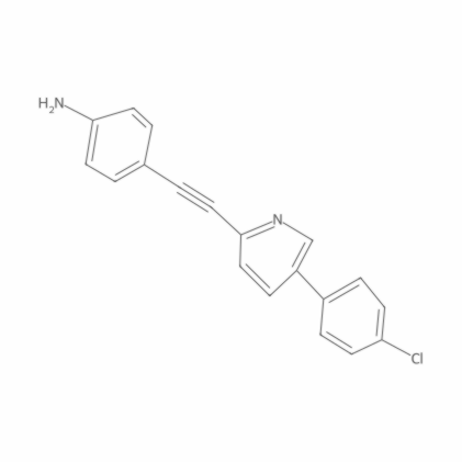 Nc1ccc(C#Cc2ccc(-c3ccc(Cl)cc3)cn2)cc1